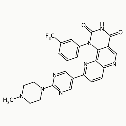 CN1CCN(c2ncc(-c3ccc4ncc5c(=O)[nH]c(=O)n(-c6cccc(C(F)(F)F)c6)c5c4n3)cn2)CC1